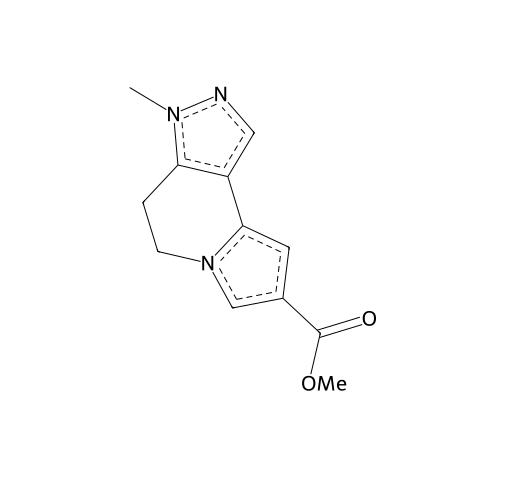 COC(=O)c1cc2n(c1)CCc1c-2cnn1C